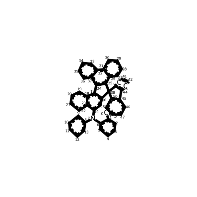 Cc1ccccc1N(c1ccccc1)c1cc2c(c3ccccc13)-c1c(c3ccccc3c3ccccc13)C21c2ccccc2-c2ccccc21